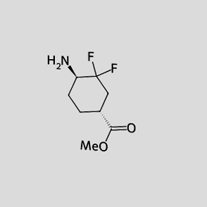 COC(=O)[C@@H]1CC[C@@H](N)C(F)(F)C1